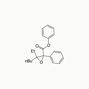 CCCCC1(CC)OC1(C(=O)Oc1ccccc1)c1ccccc1